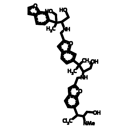 CNC(CO)C(c1ccc2cc(CNC(CO)C(C)(C)c3ccc4cc(CNC(CO)C(C)(CO)c5ccc6ccoc6c5)oc4c3)oc2c1)C(Cl)(Cl)Cl